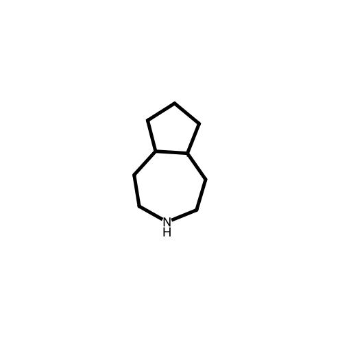 C1C[C]2CCNCCC2C1